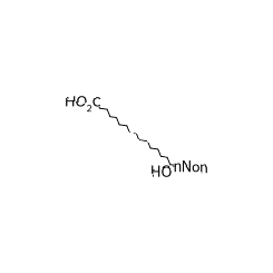 CCCCCCCCCC(O)CCCCCCCCCCCCCCC(=O)O